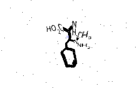 CN(N)/C(Cc1ccccc1)=C(\N)C(=O)O